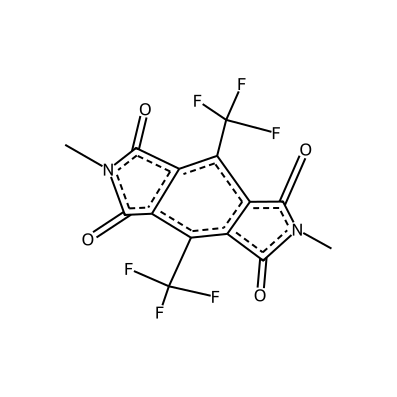 Cn1c(=O)c2c(C(F)(F)F)c3c(=O)n(C)c(=O)c3c(C(F)(F)F)c2c1=O